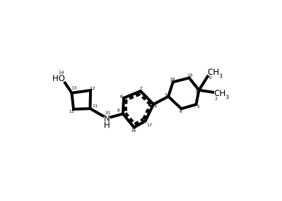 CC1(C)CCC(c2ccc(NC3CC(O)C3)cc2)CC1